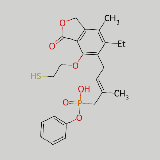 CCc1c(C)c2c(c(OCCS)c1C/C=C(\C)CP(=O)(O)Oc1ccccc1)C(=O)OC2